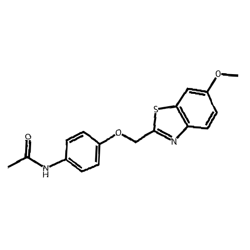 COc1ccc2nc(COc3ccc(NC(C)=O)cc3)sc2c1